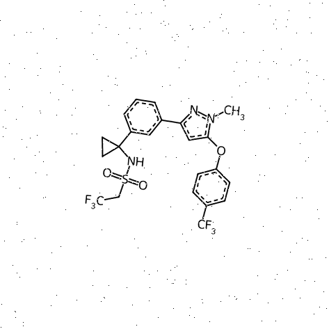 Cn1nc(-c2cccc(C3(NS(=O)(=O)CC(F)(F)F)CC3)c2)cc1Oc1ccc(C(F)(F)F)cc1